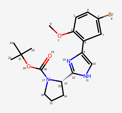 COc1ccc(Br)cc1-c1c[nH]c([C@@H]2CCCN2C(=O)OC(C)(C)C)n1